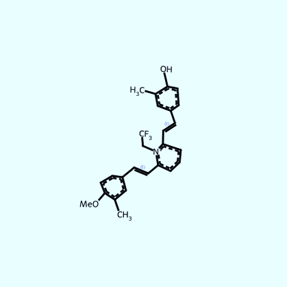 COc1ccc(/C=C/c2cccc(/C=C/c3ccc(O)c(C)c3)[n+]2CC(F)(F)F)cc1C